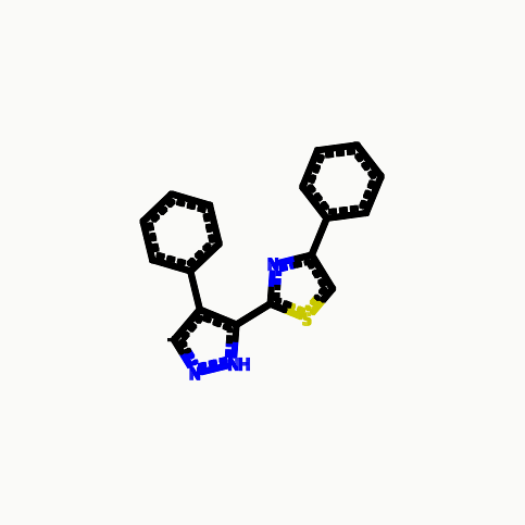 [c]1n[nH]c(-c2nc(-c3ccccc3)cs2)c1-c1ccccc1